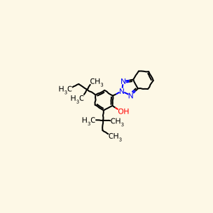 CCC(C)(C)c1cc(-n2nc3c(n2)CC=CC3)c(O)c(C(C)(C)CC)c1